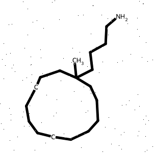 CC1(CCCCN)CCCCCCCCCCCC1